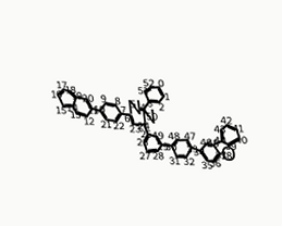 c1ccc(-c2nc(-c3ccc(-c4ccc5ccccc5c4)cc3)cc(-c3cccc(-c4ccc(-c5ccc6oc7ccccc7c6c5)cc4)c3)n2)cc1